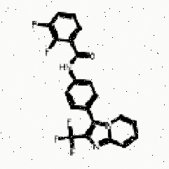 O=C(Nc1ccc(-c2c(C(F)(F)F)nc3ccccn23)cc1)c1cccc(F)c1F